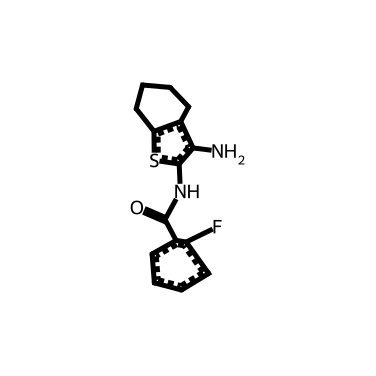 Nc1c(NC(=O)c2ccccc2F)sc2c1CCCC2